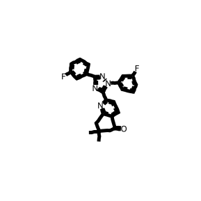 CC1(C)CC(=O)c2ccc(-c3nc(-c4cccc(F)c4)nn3-c3cccc(F)c3)nc2C1